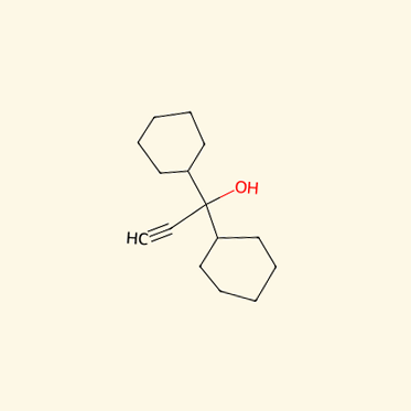 C#CC(O)(C1CCCCC1)C1CCCCC1